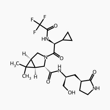 CC1(C)[C@@H]2[C@@H](C(=O)N[C@H](CO)C[C@@H]3CCNC3=O)N(C(=O)[C@@H](NC(=O)C(F)(F)F)C3CC3)C[C@@H]21